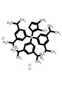 CC1=CCC([Si](c2cc(C(C)C)cc(C(C)C)c2)(c2cc(C(C)C)cc(C(C)C)c2)c2cc(C(C)C)cc(C(C)C)c2)=[C]1[Ti+3].[Cl-].[Cl-].[Cl-]